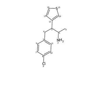 CC(N)C(Cc1ccc(Cl)cc1)c1ccsc1